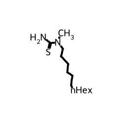 CCCCCCCCCCCCN(C)C(N)=S